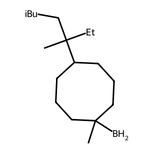 BC1(C)CCCC(C(C)(CC)CC(C)CC)CCC1